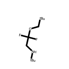 CC(C)(C)COC(F)(F)CNC(C)(C)C